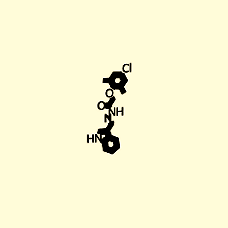 Cc1cc(Cl)cc(C)c1OCC(=O)NN=Cc1c[nH]c2ccccc12